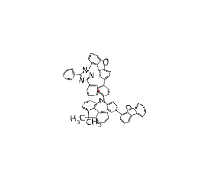 CC1(C)c2ccccc2-c2c(N(c3ccc(-c4ccc5oc6cccc(-c7nc(-c8ccccc8)nc(-c8ccccc8)n7)c6c5c4)cc3)c3ccc(-c4cccc5c4oc4ccccc45)cc3)cccc21